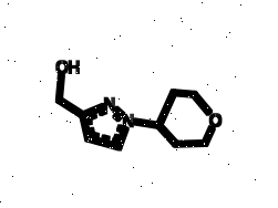 OCc1ccn(C2CCOCC2)n1